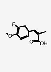 COC1=C(F)CC(C=C(C)C(=O)O)C=C1